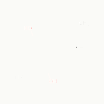 Cc1cc(O)c(CC(C)C)cc1O